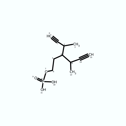 C#CC(C)C(CCOP(=O)(O)O)C(C)C#C